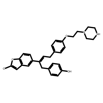 Oc1ccc(CC(=CCc2ccc(OCCN3CCNCC3)cc2)c2ccc3oc(Cl)cc3c2)cc1